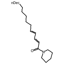 CCCCCCCCCCCCCCCC=CC=CC(=O)N1CCCCC1